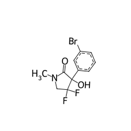 CN1CC(F)(F)C(O)(c2cccc(Br)c2)C1=O